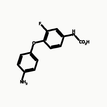 Nc1ccc(Oc2ccc(NC(=O)O)cc2F)cc1